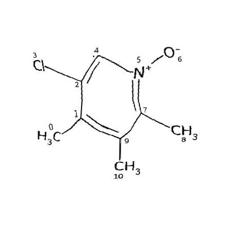 Cc1c(Cl)[c][n+]([O-])c(C)c1C